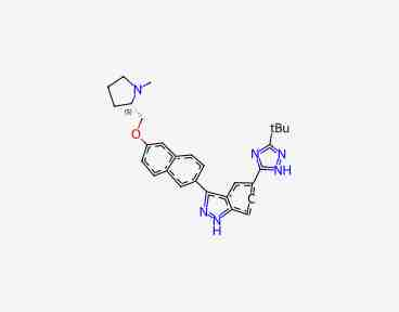 CN1CCC[C@H]1COc1ccc2cc(-c3n[nH]c4ccc(-c5nc(C(C)(C)C)n[nH]5)cc34)ccc2c1